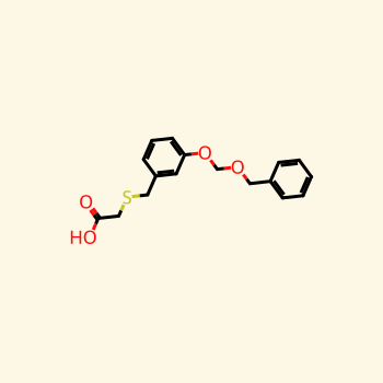 O=C(O)CSCc1cccc(OCOCc2ccccc2)c1